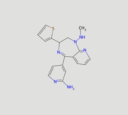 CNN1CC(c2cccs2)N=C(c2ccnc(N)c2)c2cccnc21